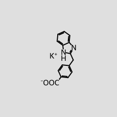 O=C([O-])c1ccc(Cc2nc3ccccc3[nH]2)cc1.[K+]